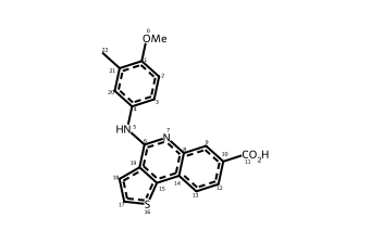 COc1ccc(Nc2nc3cc(C(=O)O)ccc3c3sccc23)cc1C